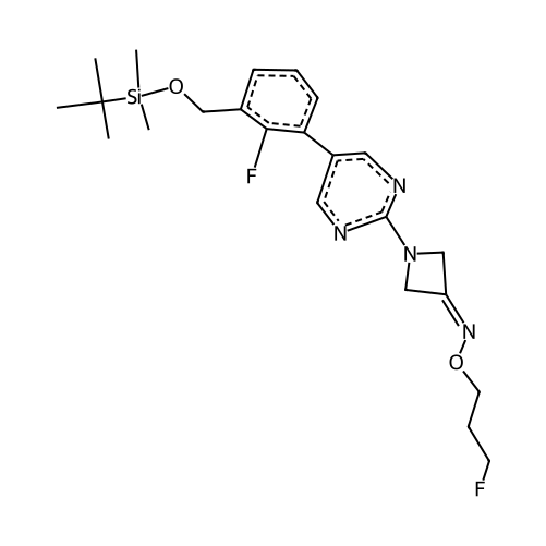 CC(C)(C)[Si](C)(C)OCc1cccc(-c2cnc(N3CC(=NOCCCF)C3)nc2)c1F